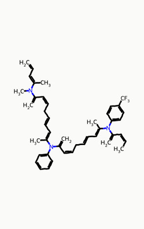 C=C/C=C(\C)N(C)C(=C)/C=C\C/C=C/C=C(\C)N(C(=C)/C=C\C/C=C/C=C(\C)N(C(=C)/C=C\C)c1ccc(C(F)(F)F)cc1)c1ccccc1